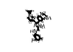 Fc1cc(F)cc(NCc2nc(-c3ccn(C4CC4)n3)c(-c3ccc4c(c3)NCC=N4)[nH]2)c1